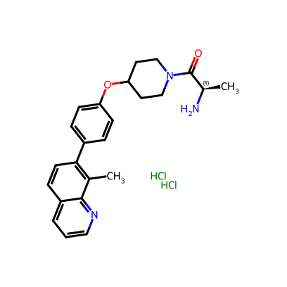 Cc1c(-c2ccc(OC3CCN(C(=O)[C@@H](C)N)CC3)cc2)ccc2cccnc12.Cl.Cl